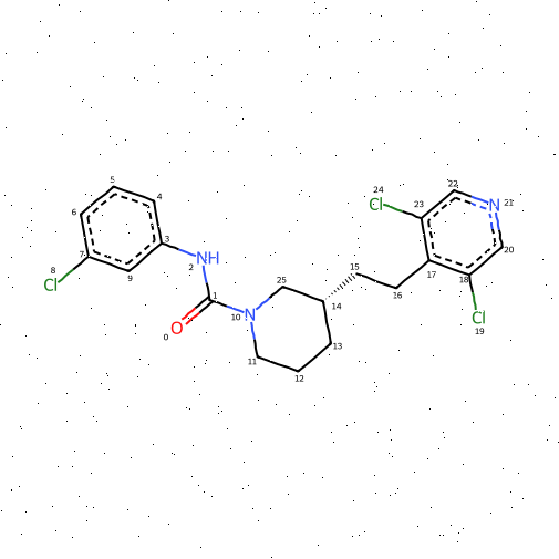 O=C(Nc1cccc(Cl)c1)N1CCC[C@@H](CCc2c(Cl)cncc2Cl)C1